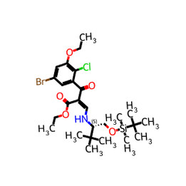 CCOC(=O)C(=CN[C@H](CO[Si](C)(C)C(C)(C)C)C(C)(C)C)C(=O)c1cc(Br)cc(OCC)c1Cl